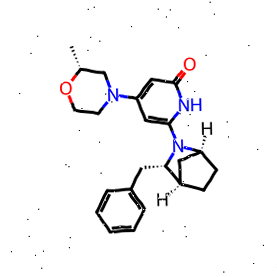 C[C@@H]1CN(c2cc(N3[C@H]4CC[C@H](C4)[C@@H]3Cc3ccccc3)[nH]c(=O)c2)CCO1